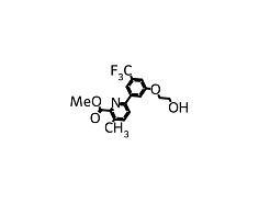 COC(=O)c1nc(-c2cc(OCCO)cc(C(F)(F)F)c2)ccc1C